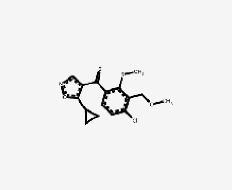 COCc1c(Cl)ccc(C(=O)c2cnoc2C2CC2)c1SC